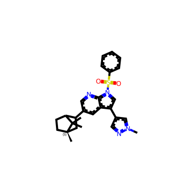 Cn1cc(-c2cn(S(=O)(=O)c3ccccc3)c3ncc(C4C[C@]5(C)CCC4C5(C)C)cc23)cn1